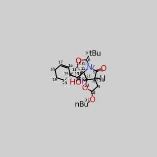 CCCCO[C@@H]1C[C@H]2C(=O)N3[C@H](C(C)(C)C)OC[C@@]3([C@H](O)[C@H]3C=CCCC3)[C@@]2(I)O1